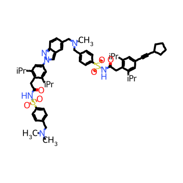 CC(C)c1cc(C#CC2CCCC2)cc(C(C)C)c1CC(=O)NS(=O)(=O)c1ccc(CN(C)Cc2ccc3nn(-c4cc(C(C)C)c(CC(=O)NS(=O)(=O)c5ccc(CN(C)C)cc5)c(C(C)C)c4)cc3c2)cc1